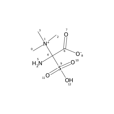 C[N+](C)(C)C(N)(C(=O)[O-])S(=O)(=O)O